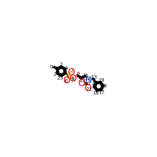 Cc1ccc(S(=O)(=O)OCC2CN(Cc3ccccc3)C(=O)O2)cc1